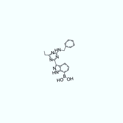 CCc1nc(NCc2ccccc2)nc(-c2n[nH]c3c(B(O)O)cccc23)n1